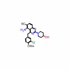 COc1ccc(Cc2nc(N3CCC(O)CC3)nc3ccc(C#N)c(N)c23)cc1Cl